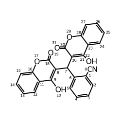 N#Cc1ccccc1C(c1c(O)c2ccccc2oc1=O)c1c(O)c2ccccc2oc1=O